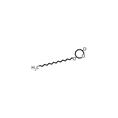 [CH2]CCCCCCCCCCCCCCCOC1CCCCC([O])COCC1